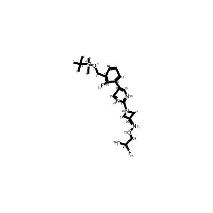 CC(C)(C)[Si](C)(C)OCc1cccc(-c2cnc(N3CC(=NOCC(F)F)C3)nc2)c1F